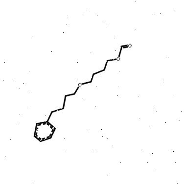 O=[C]OCCCCOCCCCc1ccccc1